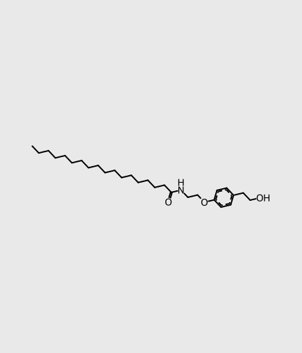 CCCCCCCCCCCCCCCCCC(=O)NCCOc1ccc(CCO)cc1